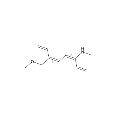 C=C/C(=C\C=C(/C=C)NC)COC